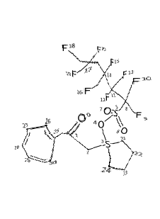 O=C(CS1(OS(=O)(=O)C(F)(F)C(F)(F)C(F)(F)C(F)(F)F)CCCC1)c1ccccc1